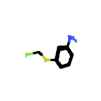 Nc1cccc(SCF)c1